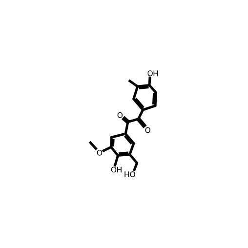 COc1cc(C(=O)C(=O)c2ccc(O)c(C)c2)cc(CO)c1O